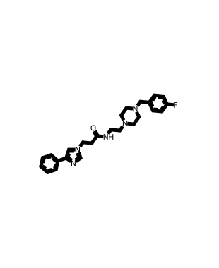 O=C(CCn1cnc(-c2ccccc2)c1)NCCN1CCN(Cc2ccc(F)cc2)CC1